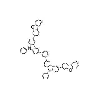 C1=CC2C(C=C1c1ccc3c(c1)oc1ccncc13)c1cc(-c3cccc(-c4ccc5c(c4)c4cc(C6=CC=C7c8cnccc8OC7C6)ccc4n5-c4ccccc4)c3)ccc1N2c1ccccc1